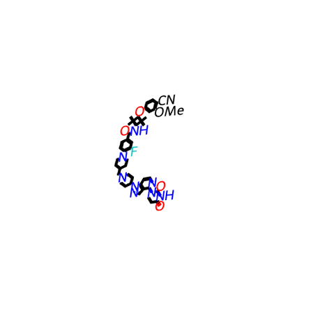 COc1cc(OC2C(C)(C)C(NC(=O)c3ccc(N4CCC(CN5CCC(n6ncc7c(N8CCC(=O)NC8=O)nccc76)CC5)CC4)c(F)c3)C2(C)C)ccc1C#N